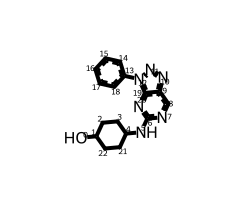 OC1CCC(Nc2ncc3nnn(-c4ccccc4)c3n2)CC1